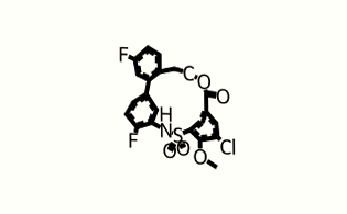 COc1c(Cl)cc2cc1S(=O)(=O)Nc1cc(ccc1F)-c1cc(F)ccc1CCOC2=O